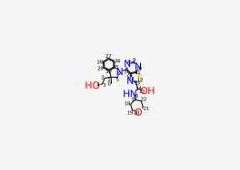 CC1(CCO)CN(c2ncnc3sc(C(O)NC4CCOCC4)nc23)c2ccccc21